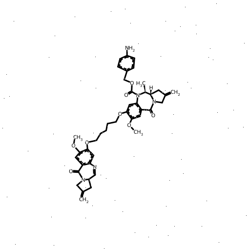 C=C1CC2C=Nc3cc(OCCCCCOc4cc5c(cc4OC)C(=O)N4CC(=C)C[C@H]4[C@H](C)N5C(=O)OCc4ccc(N)cc4)c(OC)cc3C(=O)N2C1